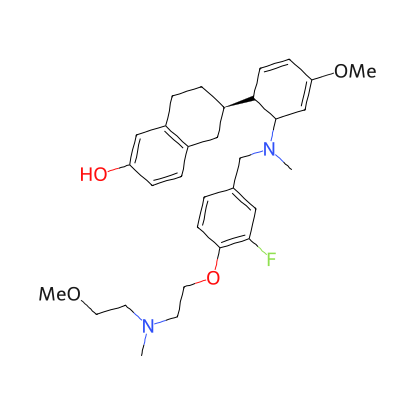 COCCN(C)CCOc1ccc(CN(C)C2C=C(OC)C=CC2[C@@H]2CCc3cc(O)ccc3C2)cc1F